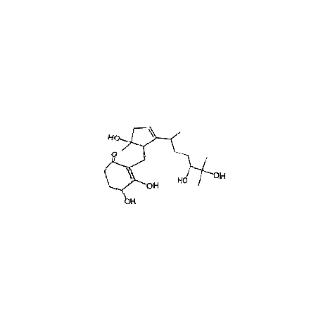 CC(CCC(O)C(C)(C)O)C1=CCC(C)(O)C1CC1=C(O)C(O)CCC1=O